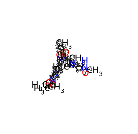 CC(=O)Nc1cccc(Cn2nc(C)c(-c3cn(S(=O)(=O)c4ccc(C)cc4)c4ncc(-c5ccc(N6CCN(C(=O)OC(C)(C)C)CC6)cc5)cc34)c2C)c1